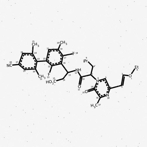 CCO/C=C/c1cn(C(CC(C)C)C(=O)NC(CC(=O)O)c2c(F)c(C)cc(-c3c(C)cc(C#N)cc3C)c2F)c(=O)c(C)n1